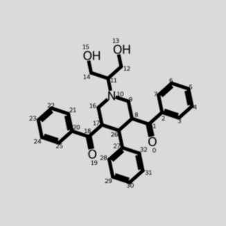 O=C(c1ccccc1)C1CN(C(CO)CO)CC(C(=O)c2ccccc2)C1c1ccccc1